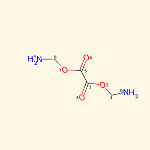 NCOC(=O)C(=O)OCN